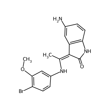 COc1cc(N/C(C)=C2\C(=O)Nc3ccc(N)cc32)ccc1Br